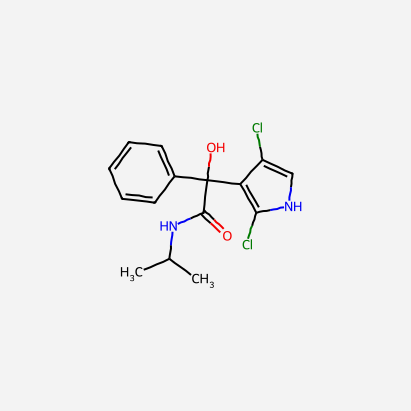 CC(C)NC(=O)C(O)(c1ccccc1)c1c(Cl)c[nH]c1Cl